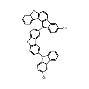 N#Cc1ccc2c(c1)c1ccccc1n2-c1ccc2sc3ccc(-n4c5ccc(C#N)cc5c5ccc6oc7ccccc7c6c54)cc3c2c1